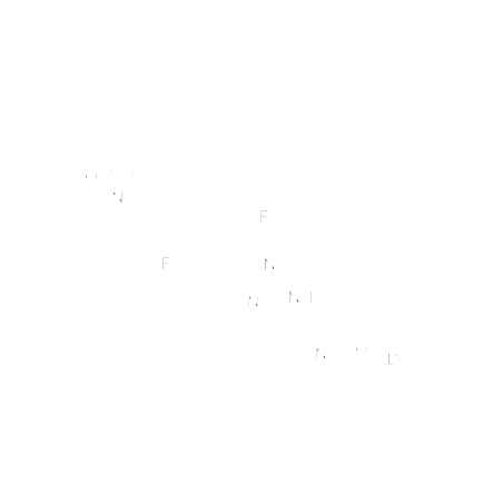 CCc1cc(-c2ccc(NS(=O)(=O)Cc3ccccc3)cc2F)cc2cnc(NC3CC(F)CN(C(=O)OC(C)(C)C)C3)nc12